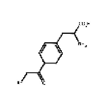 CC(=O)CC(=O)C1C=CC(CC(N)C(=O)O)=CC1